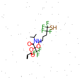 C=CC(=O)OC(OCCCCC(F)(F)C(F)(F)S)(C(=O)NC(C)C)C(F)(F)F